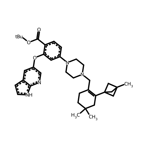 CC1(C)CCC(CN2CCN(c3ccc(C(=O)OC(C)(C)C)c(Oc4cnc5[nH]ccc5c4)c3)CC2)=C(C23CC(C)(C2)C3)C1